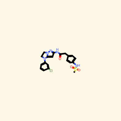 CS(=O)(=O)Nc1ccc(CC(=O)Nc2cc3n(n2)CCN3c2cccc(Cl)c2)cc1